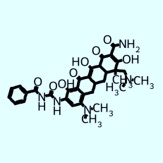 CN(C)CC1(C)C(O)=C(C(N)=O)C(=O)C2C(O)=C3C(=O)c4c(O)c(NC(=O)NC(=O)c5ccccc5)cc(N(C)C)c4CC3CC21